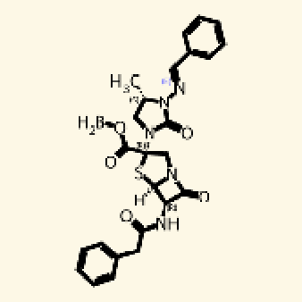 BOC(=O)[C@@]1(N2C[C@H](C)N(/N=C/c3ccccc3)C2=O)CN2C(=O)[C@@H](NC(=O)Cc3ccccc3)[C@H]2S1